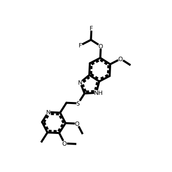 COc1cc2[nH]c(SCc3ncc(C)c(OC)c3OC)nc2cc1OC(F)F